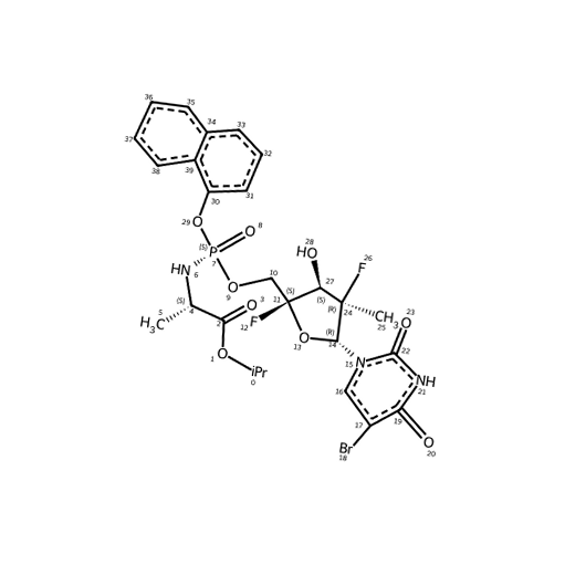 CC(C)OC(=O)[C@H](C)N[P@](=O)(OC[C@@]1(F)O[C@@H](n2cc(Br)c(=O)[nH]c2=O)[C@](C)(F)[C@@H]1O)Oc1cccc2ccccc12